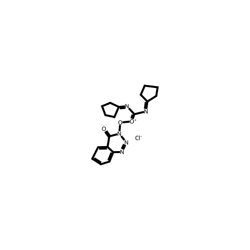 O=c1c2ccccc2nnn1O[O+]=C(N=C1CCCC1)N=C1CCCC1.[Cl-]